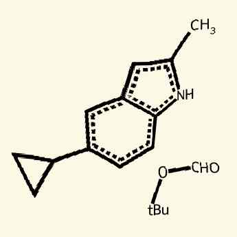 CC(C)(C)OC=O.Cc1cc2cc(C3CC3)ccc2[nH]1